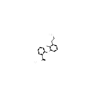 COC(=O)c1ccccc1Nc1cccc(CCNO)c1Cl